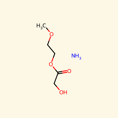 COCCOC(=O)CO.N